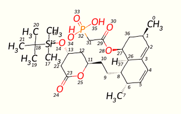 C[C@H]1C=C2C=C[C@H](C)[C@H](CC[C@@H]3C[C@@H](O[Si](C)(C)C(C)(C)C)CC(=O)O3)[C@H]2[C@@H](OC(=O)CP(=O)(O)O)C1